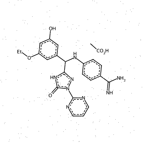 CC(=O)O.CCOc1cc(O)cc(C(Nc2ccc(C(=N)N)cc2)c2nn(-c3ncccn3)c(=O)[nH]2)c1